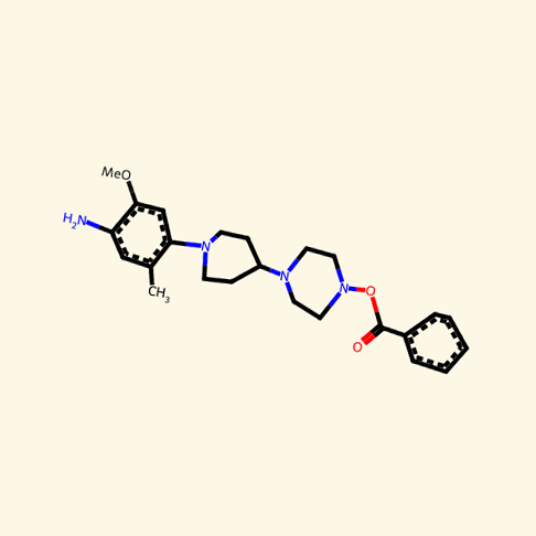 COc1cc(N2CCC(N3CCN(OC(=O)c4ccccc4)CC3)CC2)c(C)cc1N